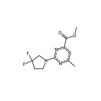 COC(=O)c1cc(C)nc(N2CCC(F)(F)C2)n1